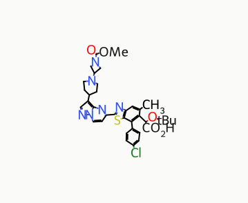 COC(=O)N1CC(N2CCC(c3cnn4ccc(-c5nc6cc(C)c([C@H](OC(C)(C)C)C(=O)O)c(-c7ccc(Cl)cc7)c6s5)nc34)CC2)C1